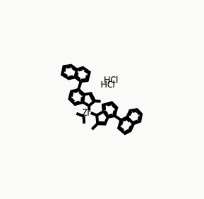 CC1=Cc2c(-c3cccc4ccccc34)cccc2[CH]1[Zr](=[C](C)C)[CH]1C(C)=Cc2c(-c3cccc4ccccc34)cccc21.Cl.Cl